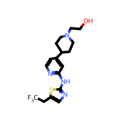 OCCN1CCC(c2ccnc(Nc3ncc(CC(F)(F)F)s3)c2)CC1